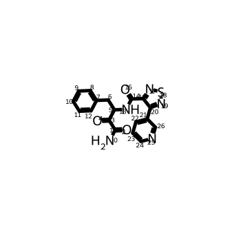 NC(=O)C(=O)C(Cc1ccccc1)NC(=O)c1nsnc1-c1cccnc1